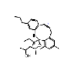 CCCc1ccc2c(c1)NC(OC(C)CC(C)O)([C@@H](C)CC)c1c(C)cc(C)cc1C/C=C\2